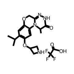 CC(C)c1cc2c(cc1OC1CNC1)N1C(=NNC(=O)C1C)CO2.O=C(O)C(F)(F)F